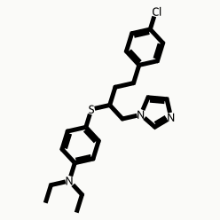 CCN(CC)c1ccc(SC(CCc2ccc(Cl)cc2)Cn2ccnc2)cc1